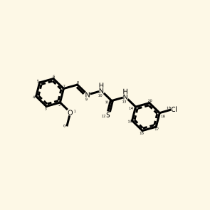 COc1ccccc1/C=N/NC(=S)Nc1cccc(Cl)c1